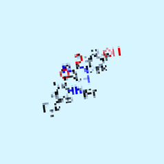 CC(C)NCc1c(C(=O)Nc2ccc(O)cc2)noc1-c1ccc(C(F)(F)F)cc1